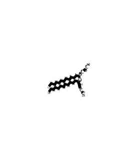 C=C=C=C=C=C(CCCCCCCCCCCC)OC(=C=C=C=C=C)CCCCCCCCCCCC